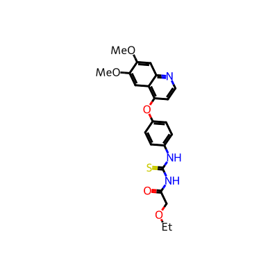 CCOCC(=O)NC(=S)Nc1ccc(Oc2ccnc3cc(OC)c(OC)cc23)cc1